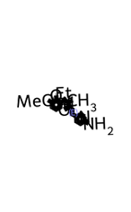 CCOc1c(CN(C)C(=O)/C=C/c2ccc(N)nc2)cccc1OC